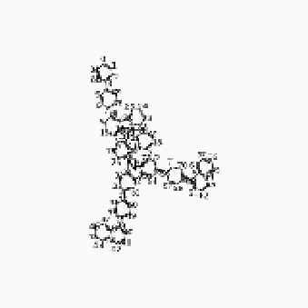 c1ccc(-c2ccc(-c3ccc4c(c3)[Si](c3ccccc3)(c3ccccc3)c3cc(-n5c6ccc(-c7ccc(-c8cccc9ccccc89)cc7)cc6c6cc(-c7ccc(-c8cccc9ccccc89)cc7)ccc65)ccc3-4)cc2)cc1